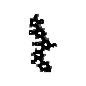 CCc1ncc(-c2cc(F)cc(-c3ccc(N4CCN(C)C4=O)c(Cl)c3)c2O)cc1N1CCNCC1